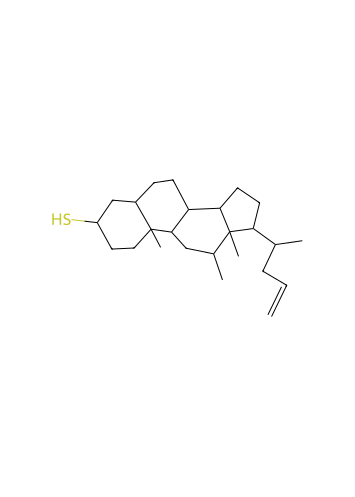 C=CCC(C)C1CCC2C3CCC4CC(S)CCC4(C)C3CC(C)C12C